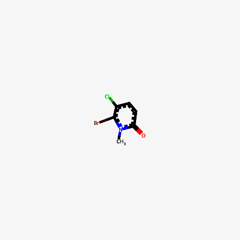 Cn1c(Br)c(Cl)ccc1=O